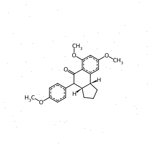 COc1ccc(C2C(=O)c3c(OC)cc(OC)cc3[C@@H]3CCC[C@H]23)cc1